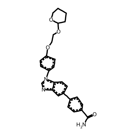 NC(=O)c1ccc(-c2ccc3c(c2)ncn3-c2ccc(OCCOC3CCCCO3)cc2)cc1